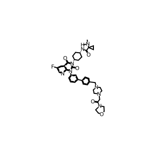 CN(C)C1(C(=O)N[C@H]2CC[C@@H](n3c(=O)c4cc(F)cnc4n(-c4cccc(-c5ccc(CN6CCN(CC(=O)N7CCOCC7)CC6)cc5)c4)c3=O)CC2)CC1